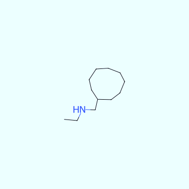 CCNCC1CCCCCCCC1